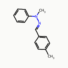 Cc1ccc(C=NN(C)c2ccccc2)cc1